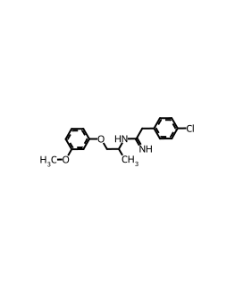 COc1cccc(OCC(C)NC(=N)Cc2ccc(Cl)cc2)c1